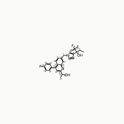 CCC(O)(c1cn(Cc2ccc3c(-c4ccc(F)cc4)cc(C(C)O)nc3c2)nn1)C(F)(F)F